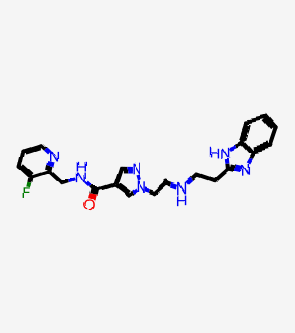 O=C(NCc1ncccc1F)c1cnn(CCNCCc2nc3ccccc3[nH]2)c1